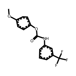 COc1ccc(OC(=O)Nc2cccc(C(F)(F)F)c2)cc1